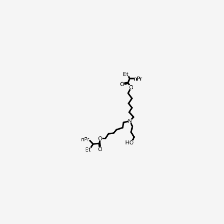 CCCC(CC)C(=O)OCCCCCCN(CCCO)CCCCCCOC(=O)C(CC)CCC